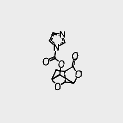 O=C1OC2C(OC(=O)n3ccnc3)C3CC1C2O3